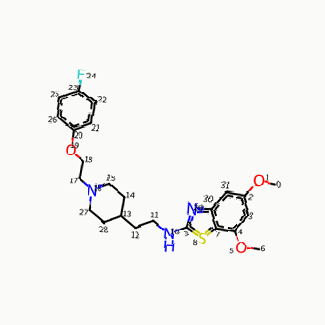 COc1cc(OC)c2sc(NCCC3CCN(CCOc4ccc(F)cc4)CC3)nc2c1